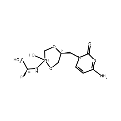 CC(C)[C@H](N[PH]1(O)CO[C@@H](Cn2ccc(N)nc2=O)CO1)C(=O)O